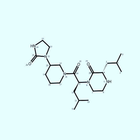 CC(C)C[C@@H]1NCCN([C@@H](CC(C)C)C(=O)N2CCCC(N3CCNC3=O)C2)C1=O